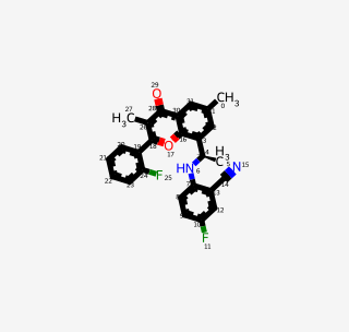 Cc1cc([C@@H](C)Nc2ccc(F)cc2C#N)c2oc(-c3ccccc3F)c(C)c(=O)c2c1